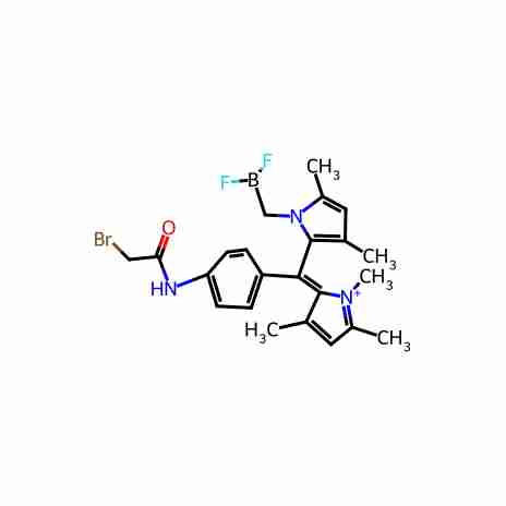 CC1=CC(C)=[N+](C)/C1=C(/c1ccc(NC(=O)CBr)cc1)c1c(C)cc(C)n1CB(F)F